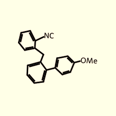 [C-]#[N+]c1ccccc1Cc1ccccc1-c1ccc(OC)cc1